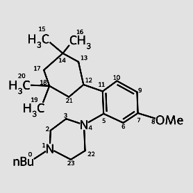 CCCCN1CCN(c2cc(OC)ccc2C2CC(C)(C)CC(C)(C)C2)CC1